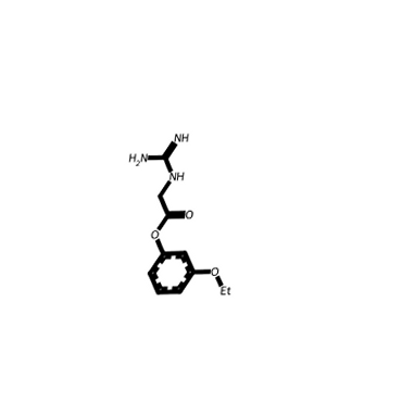 CCOc1cccc(OC(=O)CNC(=N)N)c1